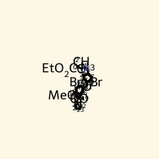 CCOC(=O)C(C)O/N=C\c1cc(Br)c(Oc2ccc(OC)c(S(=O)(=O)N3CCCC3)c2)c(Br)c1